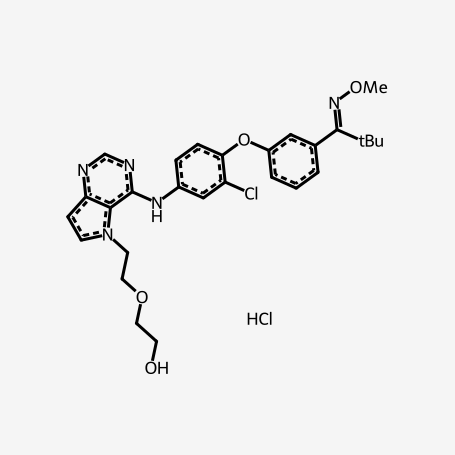 CON=C(c1cccc(Oc2ccc(Nc3ncnc4ccn(CCOCCO)c34)cc2Cl)c1)C(C)(C)C.Cl